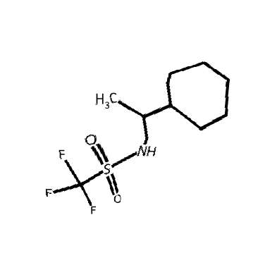 CC(NS(=O)(=O)C(F)(F)F)C1CCCCC1